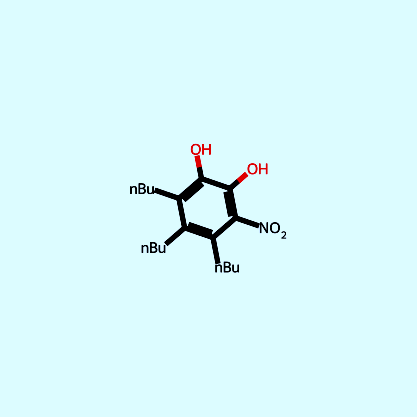 CCCCc1c(O)c(O)c([N+](=O)[O-])c(CCCC)c1CCCC